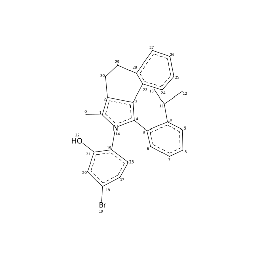 Cc1c2c(c(-c3ccccc3C(C)C)n1-c1ccc(Br)cc1O)-c1ccccc1CC2